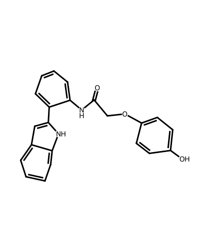 O=C(COc1ccc(O)cc1)Nc1ccccc1-c1cc2ccccc2[nH]1